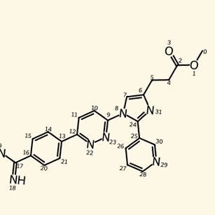 COC(=O)CCc1cn(-c2ccc(-c3ccc(C(=N)N)cc3)nn2)c(-c2cccnc2)n1